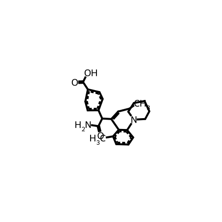 CC/C=C(\c1c(C)cccc1N1CCCCC1)C(C(N)=O)c1ccc(C(=O)O)cc1